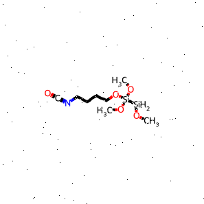 CO[SiH2][Si](OC)(OC)OCCCCN=C=O